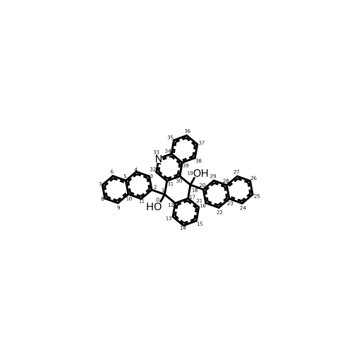 OC1(c2ccc3ccccc3c2)c2ccccc2C(O)(c2ccc3ccccc3c2)c2c1cnc1ccccc21